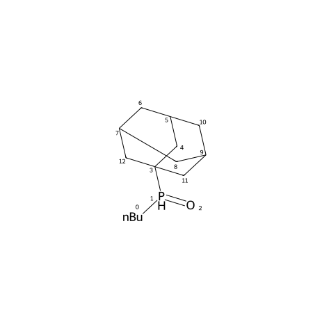 CCCC[PH](=O)C12CC3CC(CC(C3)C1)C2